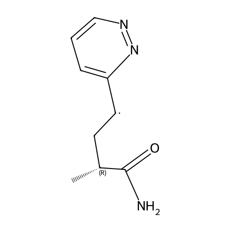 C[C@H](C[CH]c1cccnn1)C(N)=O